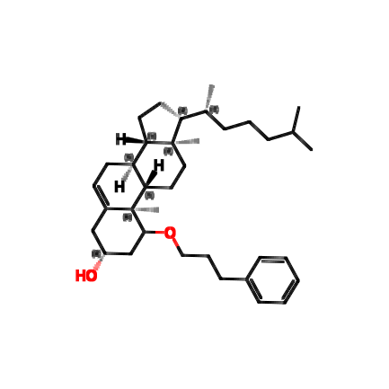 CC(C)CCC[C@@H](C)[C@H]1CC[C@H]2[C@@H]3CC=C4C[C@@H](O)CC(OCCCc5ccccc5)[C@]4(C)[C@H]3CC[C@]12C